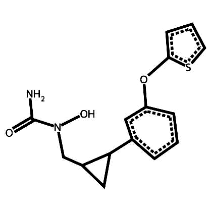 NC(=O)N(O)CC1CC1c1cccc(Oc2cccs2)c1